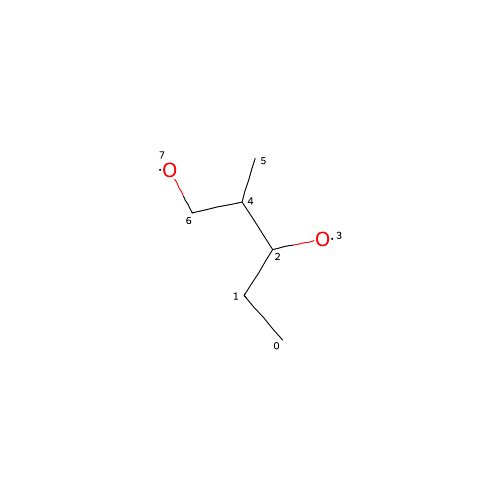 CCC([O])C(C)C[O]